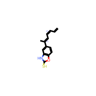 C=C/C=C\C=C(/C)c1ccc2c(c1)NC(S)O2